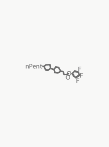 CCCCCC1CCC(C2CCC(CCC(=O)Oc3cc(F)c(F)c(F)c3)CC2)CC1